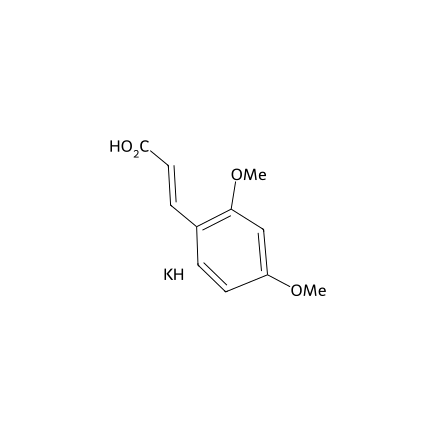 COc1ccc(C=CC(=O)O)c(OC)c1.[KH]